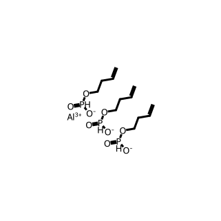 C=CCCO[PH](=O)[O-].C=CCCO[PH](=O)[O-].C=CCCO[PH](=O)[O-].[Al+3]